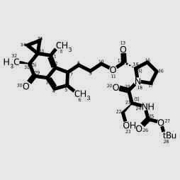 CC1=C2C(=CC(C)C2CCCOC(=O)[C@@H]2CCCN2C(=O)[C@H](CO)NC(=O)OC(C)(C)C)C(=O)[C@@H](C)C12CC2